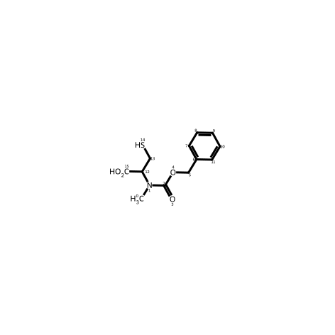 CN(C(=O)OCc1ccccc1)C(CS)C(=O)O